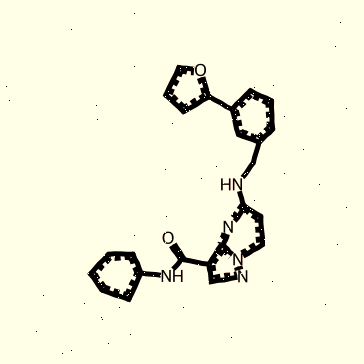 O=C(Nc1ccccc1)c1cnn2ccc(NCc3cccc(-c4ccco4)c3)nc12